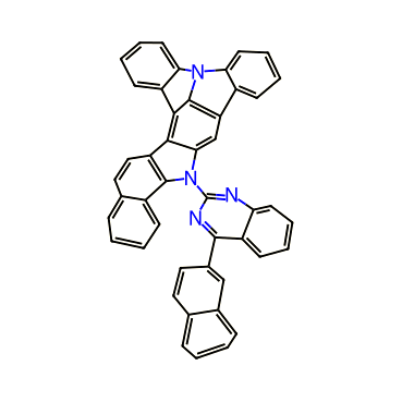 c1ccc2cc(-c3nc(-n4c5cc6c7ccccc7n7c8ccccc8c(c5c5ccc8ccccc8c54)c67)nc4ccccc34)ccc2c1